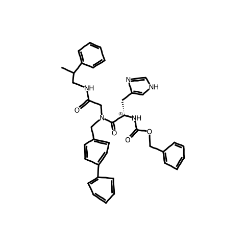 CC(CNC(=O)CN(Cc1ccc(-c2ccccc2)cc1)C(=O)[C@H](Cc1c[nH]cn1)NC(=O)OCc1ccccc1)c1ccccc1